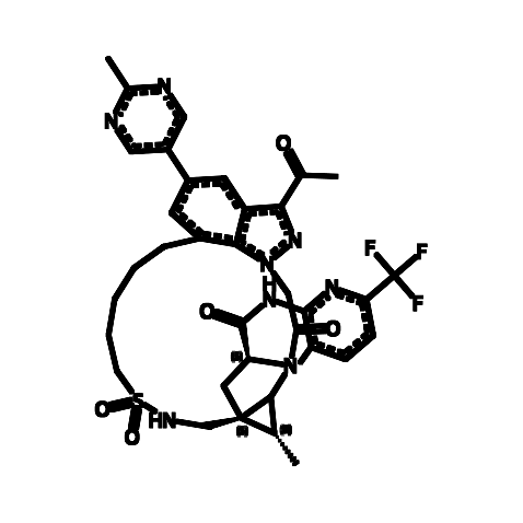 CC(=O)c1nn2c3c(cc(-c4cnc(C)nc4)cc13)CCCCCS(=O)(=O)NC[C@@]13C[C@@H](C(=O)Nc4nc(C(F)(F)F)ccc4C)N(C(=O)C2)C1[C@@H]3C